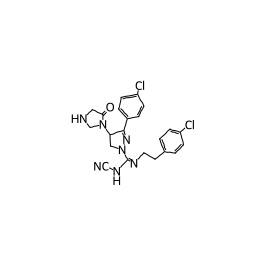 N#CNC(=NCCc1ccc(Cl)cc1)N1CC(N2CNCC2=O)C(c2ccc(Cl)cc2)=N1